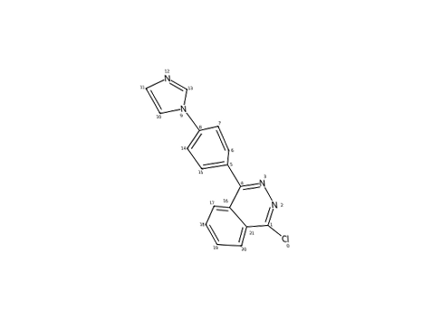 Clc1nnc(-c2ccc(-n3ccnc3)cc2)c2ccccc12